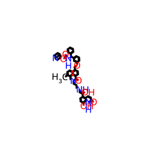 Cc1ccccc1CN(CCCNCC(O)c1ccc(O)c2[nH]c(=O)ccc12)C(=O)c1ccc(COc2cccc([C@@H](NC(=O)OC3CN4CCC3CC4)c3ccccc3)c2)cc1